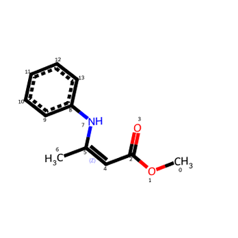 COC(=O)/C=C(/C)Nc1ccccc1